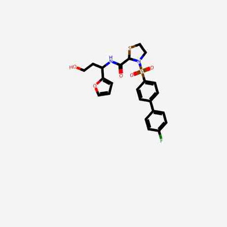 O=C(NC(CCO)c1ccco1)C1SCCN1S(=O)(=O)c1ccc(-c2ccc(F)cc2)cc1